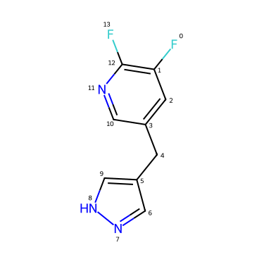 Fc1cc(Cc2cn[nH]c2)cnc1F